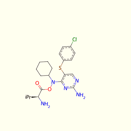 CC(C)[C@H](N)C(=O)ON(c1nc(N)ncc1Sc1ccc(Cl)cc1)C1CCCCC1